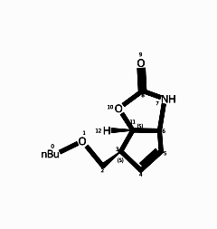 CCCCOC[C@@H]1C=CC2NC(=O)O[C@H]21